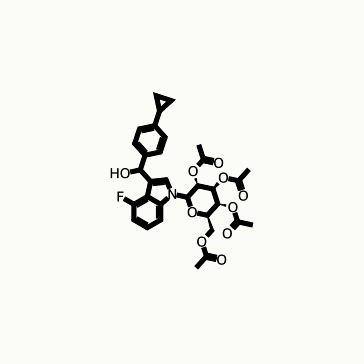 CC(=O)OC[C@H]1OC(n2cc(C(O)c3ccc(C4CC4)cc3)c3c(F)cccc32)[C@H](OC(C)=O)[C@@H](OC(C)=O)[C@@H]1OC(C)=O